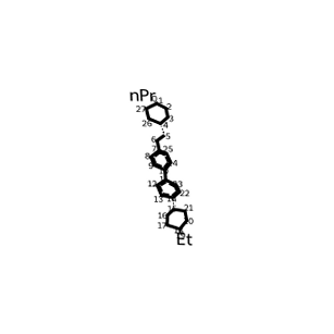 CCC[C@H]1CC[C@H](CCc2ccc(-c3ccc([C@H]4CC[C@H](CC)CC4)cc3)cc2)CC1